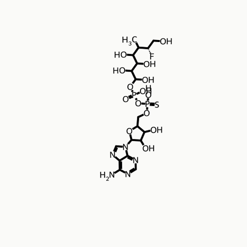 CC(C(O)C(O)C(O)C(O)OP(=O)(O)OP(O)(=S)OCC1OC(n2cnc3c(N)ncnc32)C(O)C1O)[C@@H](F)CO